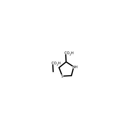 CC(=O)O.O=C(O)C1CSCN1